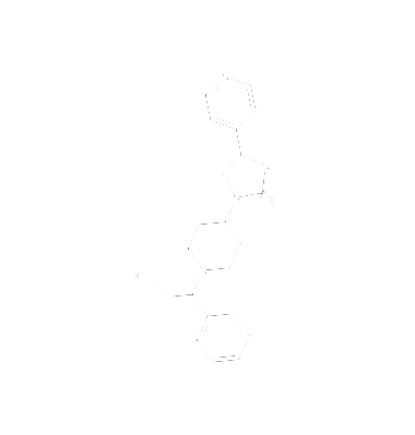 O=COC(c1ccccc1)N1CCC(N2CC(c3ccncc3)NC2=O)CC1